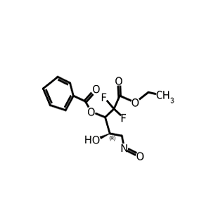 CCOC(=O)C(F)(F)C(OC(=O)c1ccccc1)[C@H](O)CN=O